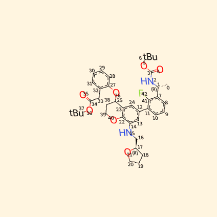 C[C@@H](NC(=O)OC(C)(C)C)c1cccc(-c2cc(NC[C@H]3CCCO3)c3c(c2)C(Oc2ccccc2CC(=O)OC(C)(C)C)CCO3)c1F